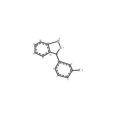 Fc1cccc(C2SOc3ccccc32)c1